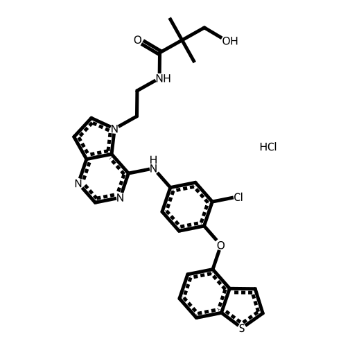 CC(C)(CO)C(=O)NCCn1ccc2ncnc(Nc3ccc(Oc4cccc5sccc45)c(Cl)c3)c21.Cl